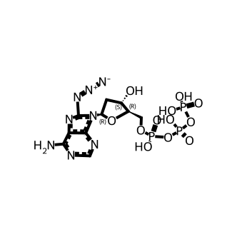 [N-]=[N+]=Nc1nc2c(N)ncnc2n1[C@H]1C[C@H](O)[C@@H](COP(=O)(O)OP(=O)(O)OP(=O)(O)O)O1